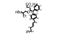 CCCCC(CC)COC(SCC(=O)O)N(c1ccccc1)c1ccc(CCCCCC(C)C)cc1